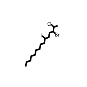 CCCCCCCCCC(I)CCC(Br)C(C)Cl